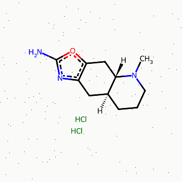 CN1CCC[C@H]2Cc3nc(N)oc3C[C@@H]21.Cl.Cl